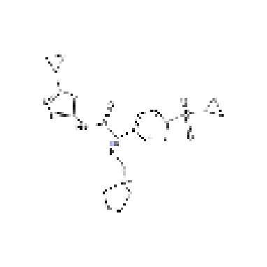 O=C(Nc1nnc(C2CC2)s1)/C(=N/O[C@@H]1CCOC1)c1ccc(S(=O)(=O)C2CC2)cc1